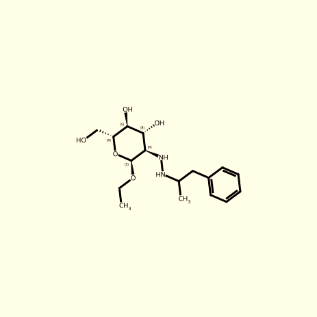 CCO[C@H]1O[C@H](CO)[C@@H](O)[C@H](O)[C@H]1NNC(C)Cc1ccccc1